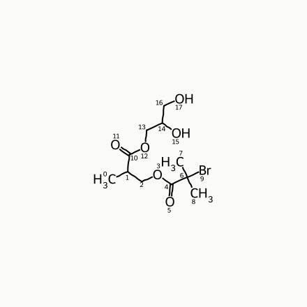 CC(COC(=O)C(C)(C)Br)C(=O)OCC(O)CO